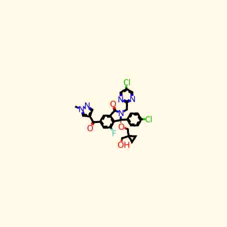 Cn1cc(C(=O)c2cc(F)c3c(c2)C(=O)N(Cc2ncc(Cl)cn2)[C@@]3(OCC2(CO)CC2)c2ccc(Cl)cc2)cn1